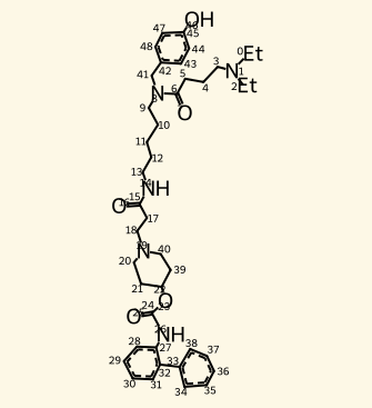 CCN(CC)CCCC(=O)N(CCCCCNC(=O)CCN1CCC(OC(=O)Nc2ccccc2-c2ccccc2)CC1)Cc1ccc(O)cc1